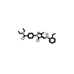 CCc1ccccc1N/C=C1/C(=O)N(c2ccc(C(=O)N(CC)CC)cc2)N=C1C